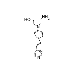 NCCN(CCO)c1ccc(C=Cc2ccncn2)cc1